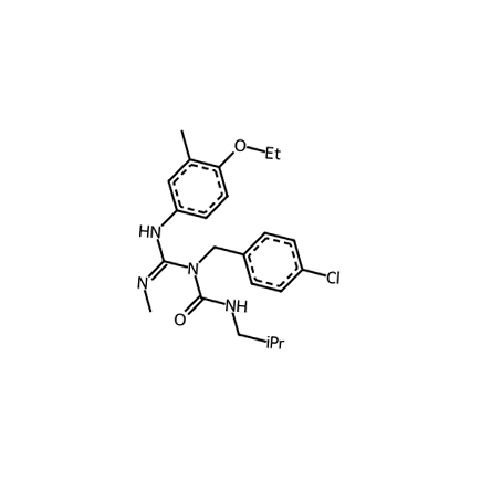 CCOc1ccc(NC(=NC)N(Cc2ccc(Cl)cc2)C(=O)NCC(C)C)cc1C